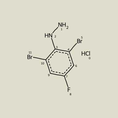 Cl.NNc1c(Br)cc(F)cc1Br